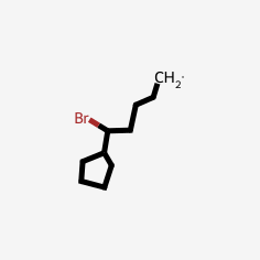 [CH2]CCCC(Br)C1CCCC1